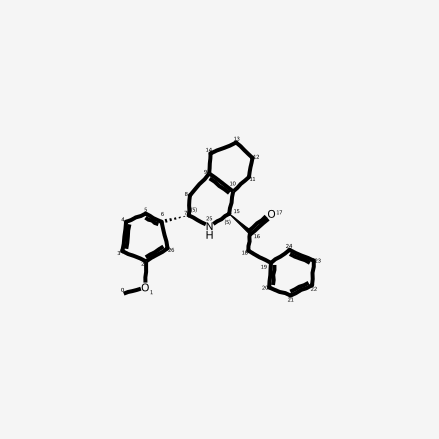 COc1cccc([C@@H]2CC3=C(CCCC3)[C@@H](C(=O)Cc3ccccc3)N2)c1